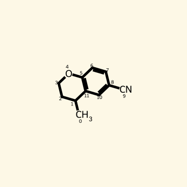 CC1CCOc2ccc(C#N)cc21